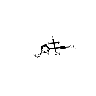 CC#CC(O)(c1ccn(C)n1)C(F)(F)F